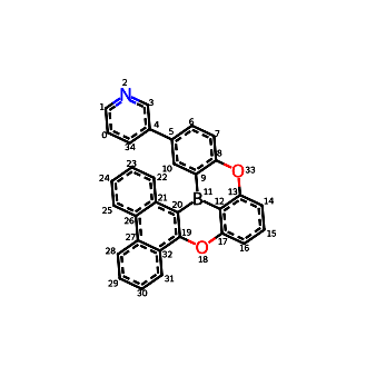 c1cncc(-c2ccc3c(c2)B2c4c(cccc4Oc4c2c2ccccc2c2ccccc42)O3)c1